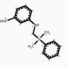 C[Si](C)(CNc1cccc(C=O)c1)c1ccccc1